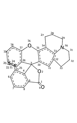 O=C1OC2(c3ccccc31)c1cc3c4c(c1Oc1ccc5ccccc5c12)CCCN4CCC3